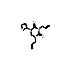 C=CCN1CN(C2CCO2)C(=O)N(CC=C)C1=O